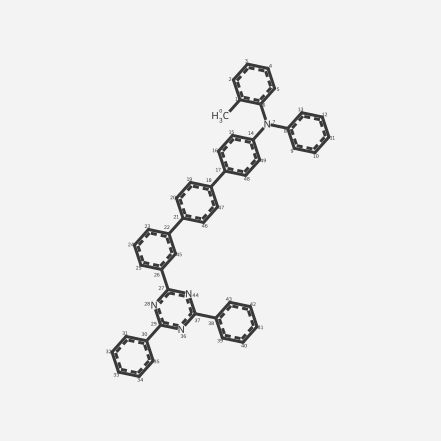 Cc1ccccc1N(c1ccccc1)c1ccc(-c2ccc(-c3cccc(-c4nc(-c5ccccc5)nc(-c5ccccc5)n4)c3)cc2)cc1